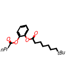 CCCC(=O)Oc1ccccc1OC(=O)CCCCCCC(C)(C)C